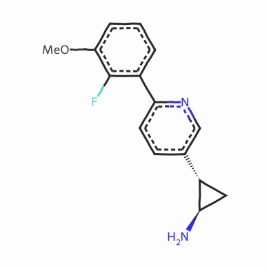 COc1cccc(-c2ccc([C@@H]3C[C@H]3N)cn2)c1F